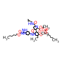 C=Cc1cc(C(=O)Nc2ccc(C(=N)NC(=O)OCCCCCC)cc2)c(-c2ccc(C(=O)NCC3CC3)nc2C(=O)OC(C)OC(=O)OCCCCCC)cc1OC